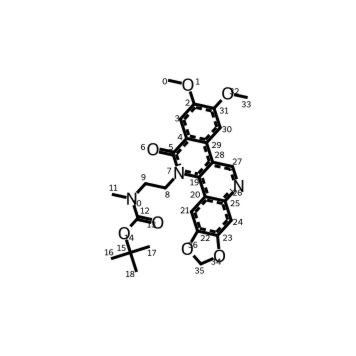 COc1cc2c(=O)n(CCN(C)C(=O)OC(C)(C)C)c3c4cc5c(cc4ncc3c2cc1OC)OCO5